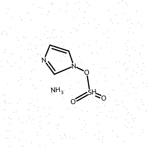 N.O=[SH](=O)On1ccnc1